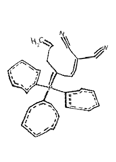 C=CCC(C=C(C#N)C#N)=P(c1ccccc1)(c1ccccc1)c1ccccc1